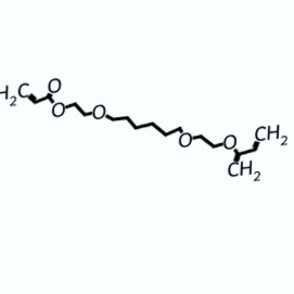 C=CC(=C)OCCOCCCCCCOCCOC(=O)C=C